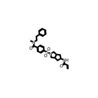 C=CC(=O)NC1CC2CN(S(=O)(=O)c3ccc(C(=O)N(C)CCc4ccccc4)cc3)CC2C1